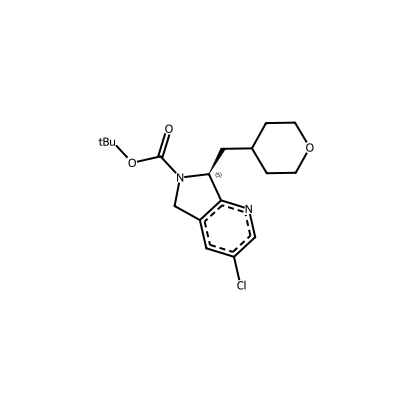 CC(C)(C)OC(=O)N1Cc2cc(Cl)cnc2[C@@H]1CC1CCOCC1